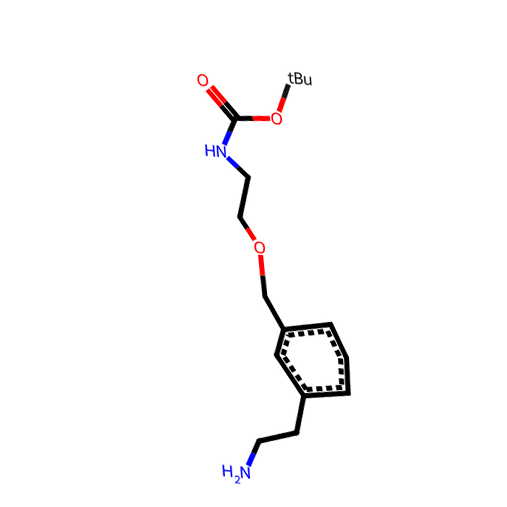 CC(C)(C)OC(=O)NCCOCc1cccc(CCN)c1